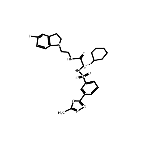 Cc1nnc(-c2cccc(S(=O)(=O)N[C@@H](CC3CCCCC3)C(=O)NCCN3CCc4cc(F)ccc43)c2)o1